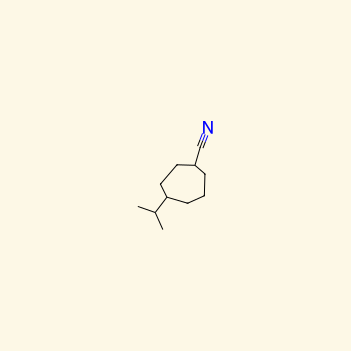 CC(C)C1CCCC(C#N)CC1